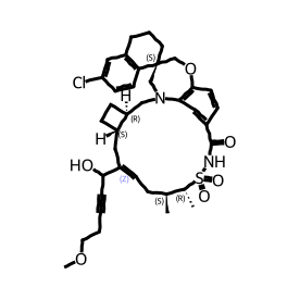 COCCC#CC(O)/C1=C\C[C@H](C)[C@@H](C)S(=O)(=O)NC(=O)c2ccc3c(c2)N(C[C@@H]2CC[C@H]2C1)C[C@@]1(CCCc2cc(Cl)ccc21)CO3